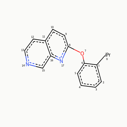 CC(C)c1ccccc1Oc1ccc2ccncc2n1